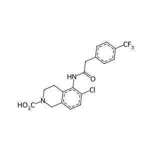 O=C(Cc1ccc(C(F)(F)F)cc1)Nc1c(Cl)ccc2c1CCN(C(=O)O)C2